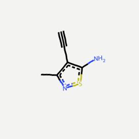 C#Cc1c(C)nsc1N